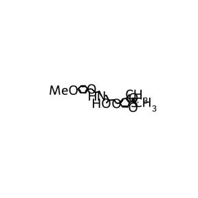 COc1ccc(OCCNCC(O)COc2ccc(S(C)(=O)=O)c(C)c2)cc1